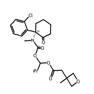 CC(C)C(OC(=O)CC1(C)COC1)OC(=O)N(C)[C@]1(c2ccccc2Cl)CCCCC1=O